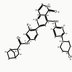 O=C(Nc1ccc(-c2cc(Nc3ccc(N4CCC(O)CC4)cn3)c3c(=O)[nH]ccc3n2)c(F)c1)C1CC2CCC1C2